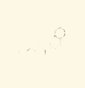 C=CCOC(=O)[C@H]1CCc2ccccc2O1